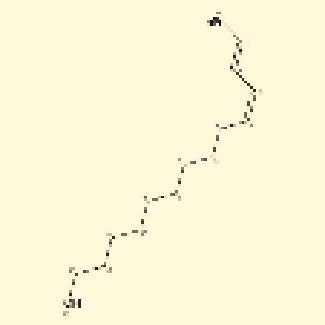 CCCC=C/C=C\CCCCCCCCCO